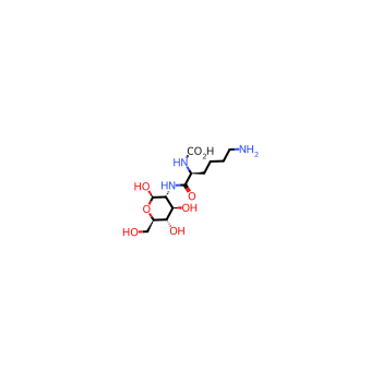 NCCCC[C@H](NC(=O)O)C(=O)N[C@@H]1[C@@H](O)[C@H](O)[C@@H](CO)O[C@H]1O